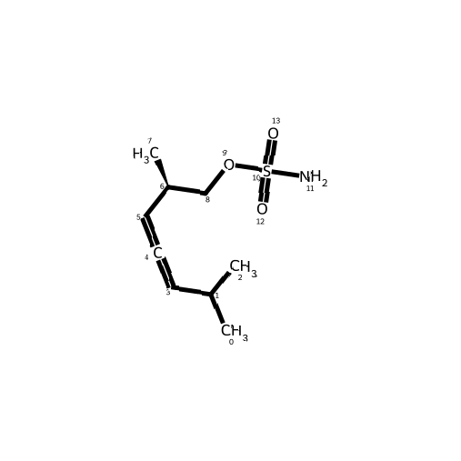 CC(C)C=C=C[C@@H](C)COS(N)(=O)=O